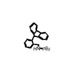 CCCCNCc1ccccc1C1c2ccccc2-c2ccccc21